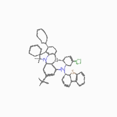 CC(C)(C)C1=CC2C3B(C4CC=C(Cl)CC4N2C2CC=CC4C5=C(C=CCC5)SC42)C2CCC(C4CCCCC4)C4C2N(C3C1)C(C)(C)C41CCCCC1